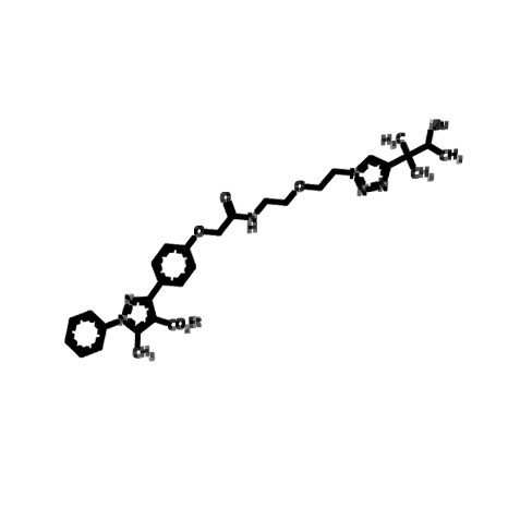 CCOC(=O)c1c(-c2ccc(OCC(=O)NCCOCCn3cc(C(C)(C)C(C)C(C)CC)nn3)cc2)nn(-c2ccccc2)c1C